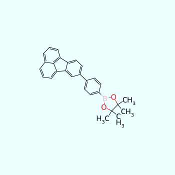 CC1(C)OB(c2ccc(-c3ccc4c(c3)-c3cccc5cccc-4c35)cc2)OC1(C)C